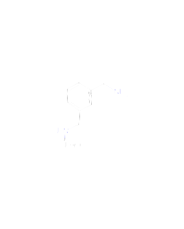 CCCC(C)NCc1cccc(CN)c1